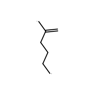 [CH2]CCCC([CH2])=C